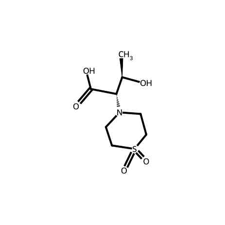 C[C@@H](O)[C@@H](C(=O)O)N1CCS(=O)(=O)CC1